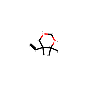 C=CC1(C)COCOC1(C)C